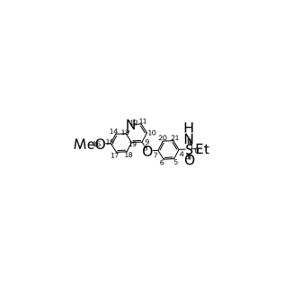 CCS(=N)(=O)c1ccc(Oc2ccnc3cc(OC)ccc23)cc1